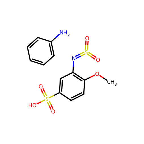 COc1ccc(S(=O)(=O)O)cc1N=S(=O)=O.Nc1ccccc1